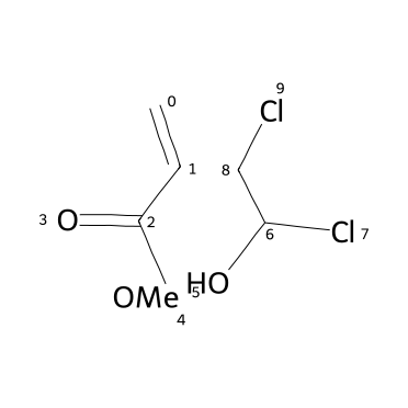 C=CC(=O)OC.OC(Cl)CCl